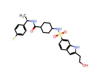 C[C@@H](NC(=O)C1CCC(NS(=O)(=O)c2ccc3cc(CCO)[nH]c3c2)CC1)c1ccc(F)cc1